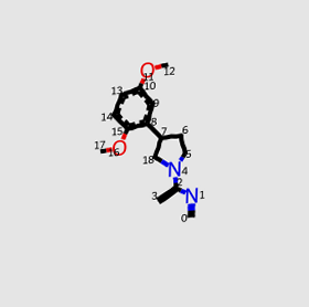 C=NC(=C)N1CCC(c2cc(OC)ccc2OC)C1